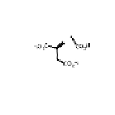 C=C(CC(=O)O)C(=O)O.CC(=O)O